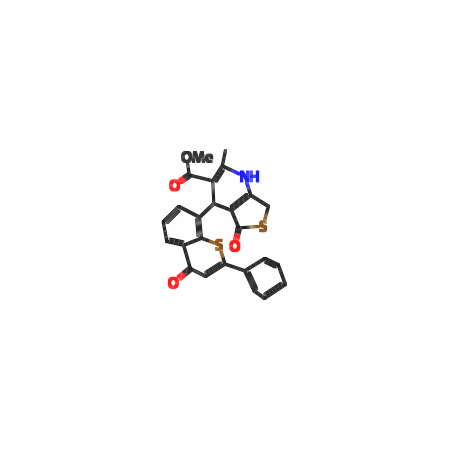 COC(=O)C1=C(C)NC2=C(C(=O)SC2)C1c1cccc2c(=O)cc(-c3ccccc3)sc12